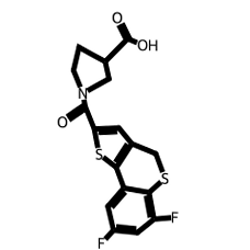 O=C(O)C1CCN(C(=O)c2cc3c(s2)-c2cc(F)cc(F)c2SC3)C1